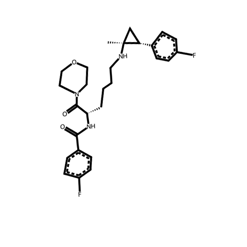 C[C@]1(NCCCC[C@H](NC(=O)c2ccc(F)cc2)C(=O)N2CCOCC2)C[C@@H]1c1ccc(F)cc1